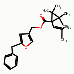 CC(C)=CC1(C(=O)OCc2coc(Cc3ccccc3)c2)C(C)(C)C1(C)C